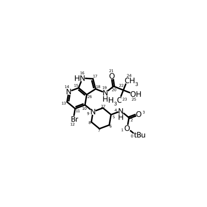 CC(C)(C)OC(=O)NC1CCCN(c2c(Br)cnc3[nH]cc(NC(=O)C(C)(C)O)c23)C1